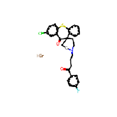 Br.O=C(CCCN1CCC2(CC1)C(=O)c1cc(Cl)ccc1Sc1ccccc12)c1ccc(F)cc1